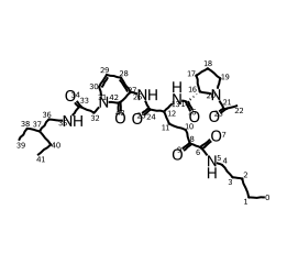 CCCCCNC(=O)C(=O)CCC(NC(=O)[C@@H]1CCCN1C(C)=O)C(=O)Nc1cccn(CC(=O)NCC(CC)CC)c1=O